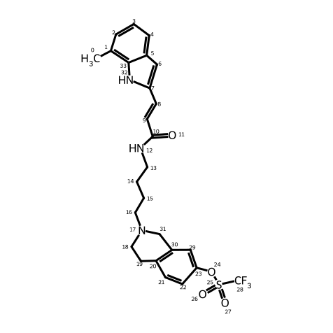 Cc1cccc2cc(C=CC(=O)NCCCCN3CCc4ccc(OS(=O)(=O)C(F)(F)F)cc4C3)[nH]c12